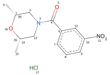 C[C@@H]1CN(C(=O)c2cccc([N+](=O)[O-])c2)C[C@H](C)O1.Cl